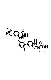 CN(C(=O)O)c1nc2cc(-c3cc(Cc4n[nH]c(=O)c5ccc(OC(F)(F)F)cc45)ccc3F)ccc2[nH]1